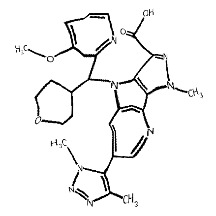 COc1cccnc1C(C1CCOCC1)n1c2cc(-c3c(C)nnn3C)cnc2c2c1c(C(=O)O)nn2C